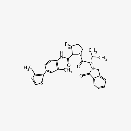 Cc1cc(-c2scnc2C)ccc1NC(=O)C1[C@@H](F)CCN1C(=O)[C@H](C(C)C)N1Cc2ccccc2C1=O